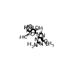 C#C[C@]1(CO)O[C@@H](n2cnc3c(OC)nc(N)nc32)C(O)C1O